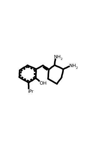 CC(C)c1cccc(C=C2CCCC(N)C2N)c1O